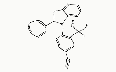 N#Cc1ccc(N2c3ccccc3CC2c2ccccc2)c(C(F)(F)F)c1